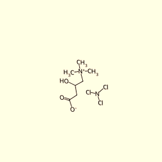 C[N+](C)(C)CC(O)CC(=O)[O-].ClN(Cl)Cl